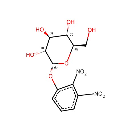 O=[N+]([O-])c1cccc(O[C@H]2O[C@H](CO)[C@@H](O)[C@H](O)[C@H]2O)c1[N+](=O)[O-]